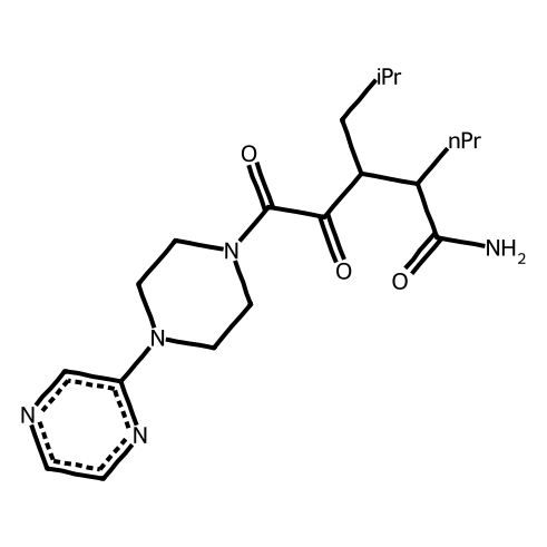 CCCC(C(N)=O)C(CC(C)C)C(=O)C(=O)N1CCN(c2cnccn2)CC1